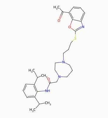 CC(=O)c1cccc2nc(SCCCN3CCCN(CC(=O)Nc4c(C(C)C)cccc4C(C)C)CC3)oc12